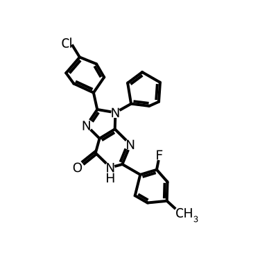 Cc1ccc(-c2nc3c(nc(-c4ccc(Cl)cc4)n3-c3ccccc3)c(=O)[nH]2)c(F)c1